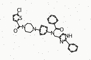 O=C(c1ccc(Cl)s1)N1CCN(c2ccc(N(Cc3c[nH]c(-c4ccccc4)n3)C(=O)c3ccccc3)cc2)CC1